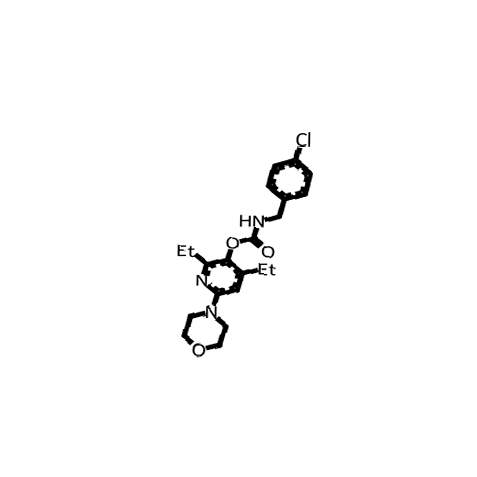 CCc1cc(N2CCOCC2)nc(CC)c1OC(=O)NCc1ccc(Cl)cc1